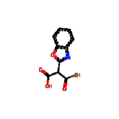 O=C(O)C(C(=O)S)c1nc2ccccc2o1